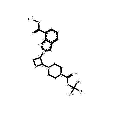 COC(=O)c1cccc2cn(C3COC3N3CCN(C(=O)OC(C)(C)C)CC3)nc12